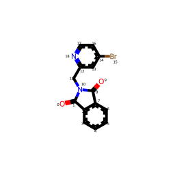 O=C1c2ccccc2C(=O)N1Cc1cc(Br)ccn1